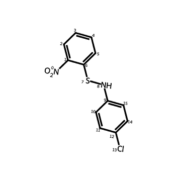 O=[N+]([O-])c1ccccc1SNc1ccc(Cl)cc1